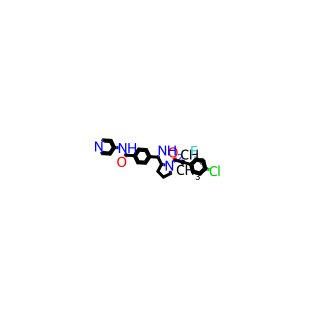 CC(C)(C(=O)N1CCCC1C(N)c1ccc(C(=O)Nc2ccncc2)cc1)c1ccc(Cl)cc1F